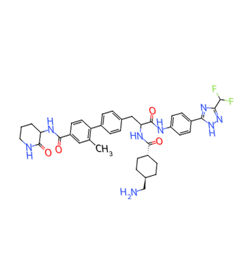 Cc1cc(C(=O)NC2CCCNC2=O)ccc1-c1ccc(CC(NC(=O)[C@H]2CC[C@H](CN)CC2)C(=O)Nc2ccc(-c3nc(C(F)F)n[nH]3)cc2)cc1